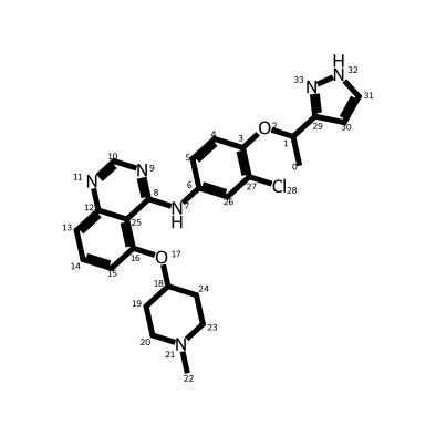 CC(Oc1ccc(Nc2ncnc3cccc(OC4CCN(C)CC4)c23)cc1Cl)c1cc[nH]n1